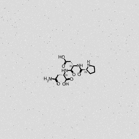 NC(=O)C[C@H](NC(=O)[C@H](CC(=O)O)NC(=O)[C@@H]1CCCN1)C(=O)O